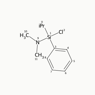 CC(C)[Si](Cl)(c1ccccc1)N(C)C